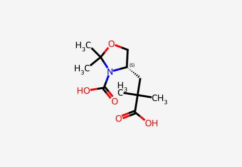 CC(C)(C[C@H]1COC(C)(C)N1C(=O)O)C(=O)O